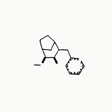 O=C1C(=NO)C2CCC(C2)C1Cc1ccccn1